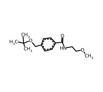 COCCNC(=O)c1ccc(COC(C)(C)C)cc1